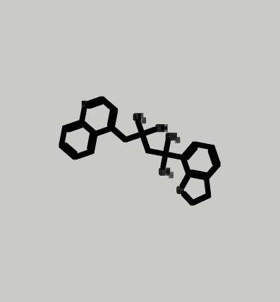 CC(C)(CC(O)(Cc1ccnc2ccccc12)C(F)(F)F)c1cccc2c1OCC2